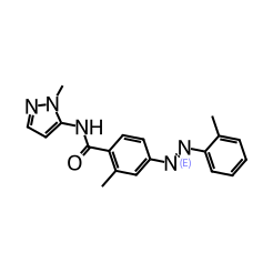 Cc1ccccc1/N=N/c1ccc(C(=O)Nc2ccnn2C)c(C)c1